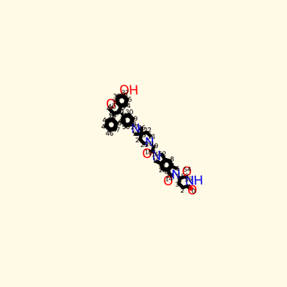 O=C1CCC(N2Cc3cc4c(cc3C2=O)CN(C(=O)CN2CCC3(CC2)CN(c2ccc([C@@H]5c6ccc(O)cc6OC[C@@H]5c5ccccc5)cc2)C3)C4)C(=O)N1